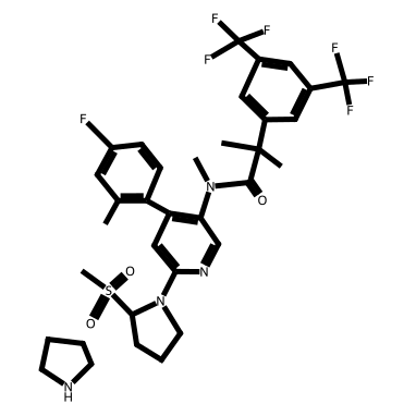 C1CCNC1.Cc1cc(F)ccc1-c1cc(N2CCCC2S(C)(=O)=O)ncc1N(C)C(=O)C(C)(C)c1cc(C(F)(F)F)cc(C(F)(F)F)c1